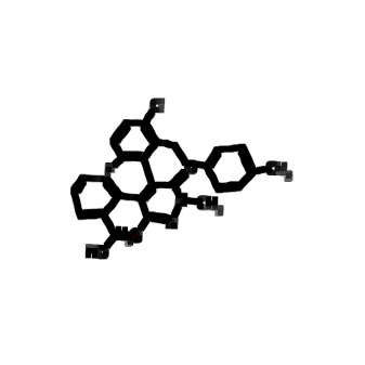 Cc1ccc(CCc2c(Cl)ccc(F)c2-c2c(-c3ccccc3C(=O)O)c(C)nn(C)c2=O)cc1